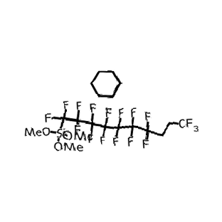 C1CCCCC1.CO[Si](OC)(OC)C(F)(F)C(F)(F)C(F)(F)C(F)(F)C(F)(F)C(F)(F)C(F)(F)CCC(F)(F)F